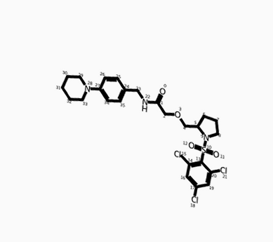 O=C(COCC1CCCN1S(=O)(=O)c1c(Cl)cc(Cl)cc1Cl)NCc1ccc(N2CCCCC2)cc1